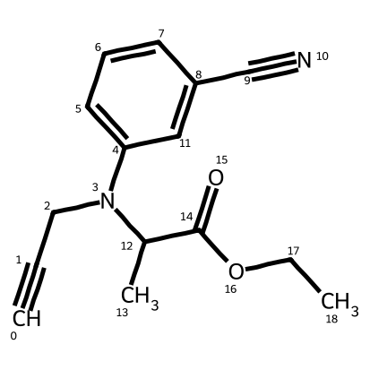 C#CCN(c1cccc(C#N)c1)C(C)C(=O)OCC